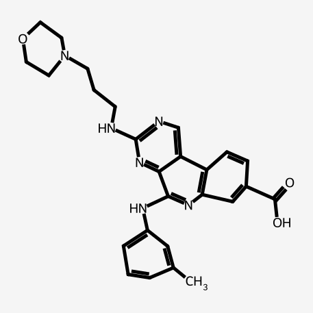 Cc1cccc(Nc2nc3cc(C(=O)O)ccc3c3cnc(NCCCN4CCOCC4)nc23)c1